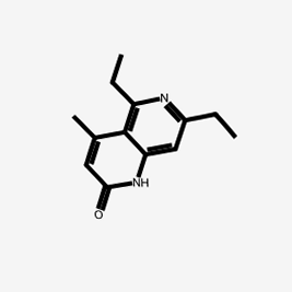 CCc1cc2[nH]c(=O)cc(C)c2c(CC)n1